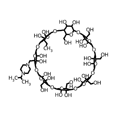 CCC1OC2OC3C(CO)OC(OC4C(CO)OC(OC5C(CO)OC(OC6C(CO)OC(OC7C(CO)CC(OC8C(CO)OC(OC9C(CN%10CCN(C(C)C)CC%10)OC(OC1C(O)C2O)C(O)C9O)C(O)C8O)C(O)C7O)C(O)C6O)C(O)C5O)C(O)C4O)C(O)C3O